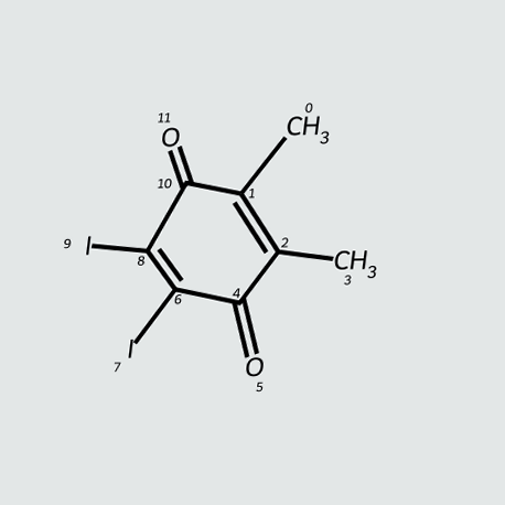 CC1=C(C)C(=O)C(I)=C(I)C1=O